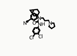 N#Cc1cccc([C@]23CC[C@@H](N(CCCN4CCCC4)C(=O)Nc4ccc(Cl)c(Cl)c4)CC2C3)c1